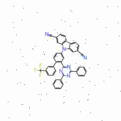 N#Cc1ccc2c3ccc(C#N)cc3n(-c3ccc(-c4cccc(C(F)(F)F)c4)c(-c4nc(-c5ccccc5)nc(-c5ccccc5)n4)c3)c2c1